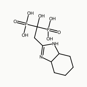 O=P(O)(O)C(O)(CC1=NC2CCCCC2N1)P(=O)(O)O